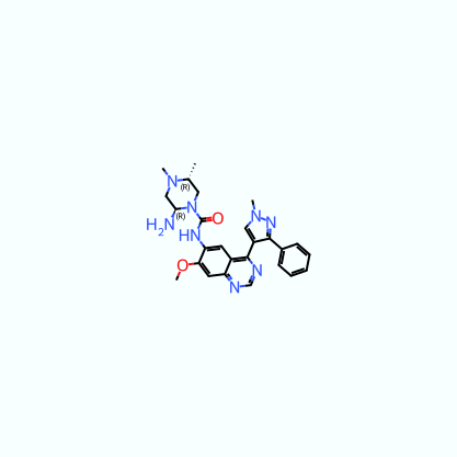 COc1cc2ncnc(-c3cn(C)nc3-c3ccccc3)c2cc1NC(=O)N1C[C@@H](C)N(C)C[C@@H]1N